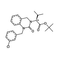 CC(C)[C@@H](C(=O)OC(C)(C)C)N1Cc2ccccc2N(Cc2cccc(Cl)c2)C1=O